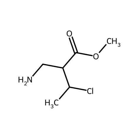 COC(=O)C(CN)C(C)Cl